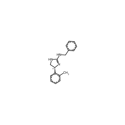 Cc1ccccc1[C@H]1CNC(NCc2ccccc2)=N1